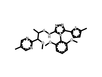 COc1cccc(OC)c1-n1c(NSC(C)C(OC)c2ncc(C)cn2)nnc1-c1ccc(C)s1